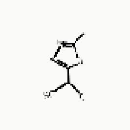 Cc1nnc(C(O)Cl)o1